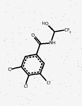 O=C(NC(O)C(F)(F)F)c1cc(Cl)c(Cl)c(Cl)c1